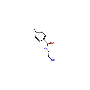 NCCNC(=O)c1ccc(I)cc1